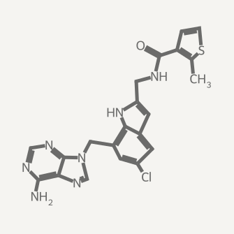 Cc1sccc1C(=O)NCc1cc2cc(Cl)cc(Cn3cnc4c(N)ncnc43)c2[nH]1